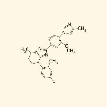 COc1cc(-c2nc3n(n2)C(C)CCC3c2ccc(F)cc2C)ccc1-n1cnc(C)c1